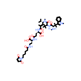 CN[C@H](C(=O)NC(C(=O)N(C)[C@H](/C=C(\C)C(=O)N[C@H](CCC(=O)N[C@@H](CCNC(=O)CCCCCN1C(=O)C=CC1=O)C(=O)O)C(=O)O)C(C)C)C(C)(C)C)C(C)(C)c1cn(C)c2ccccc12